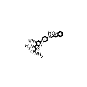 CCCc1cc(N2CCC(NCC(O)Cc3ccccc3)CC2)nc2c1C(N)C(C(N)=O)S2